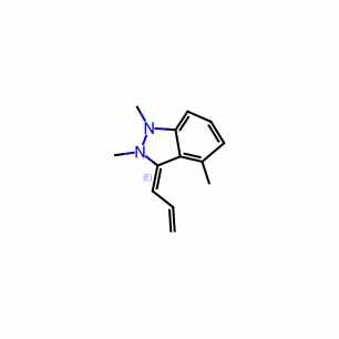 C=C/C=C1\c2c(C)cccc2N(C)N1C